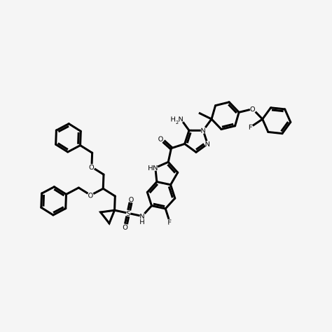 CC1(n2ncc(C(=O)c3cc4cc(F)c(NS(=O)(=O)C5(CC(COCc6ccccc6)OCc6ccccc6)CC5)cc4[nH]3)c2N)C=CC(OC2(F)C=CC=CC2)=CC1